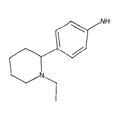 CCN1CCCCC1c1ccc([NH])cc1